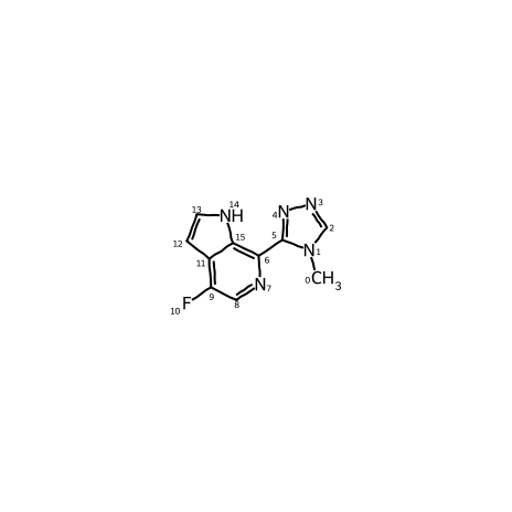 Cn1cnnc1-c1ncc(F)c2cc[nH]c12